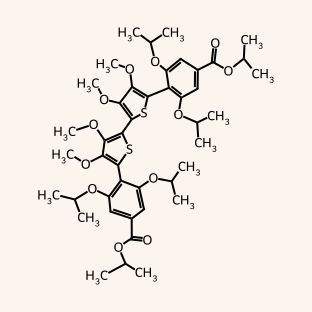 COc1c(-c2sc(-c3c(OC(C)C)cc(C(=O)OC(C)C)cc3OC(C)C)c(OC)c2OC)sc(-c2c(OC(C)C)cc(C(=O)OC(C)C)cc2OC(C)C)c1OC